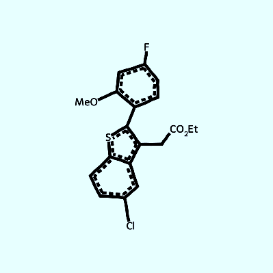 CCOC(=O)Cc1c(-c2ccc(F)cc2OC)sc2ccc(Cl)cc12